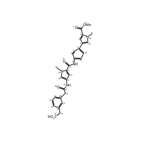 COC(=O)c1cc(-c2ccc(NC(=O)c3cc(NC(=O)Cc4cccc(CC(=O)O)c4)cn3C)cc2)cn1C